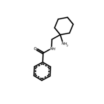 NC1(CNC(=O)c2ccccc2)CCCCC1